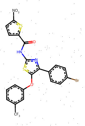 O=C(Nc1nc(-c2ccc(Br)cc2)c(Oc2cccc(C(F)(F)F)c2)s1)c1ccc([N+](=O)[O-])s1